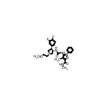 CNC(=O)c1nn(-c2ccccc2)c(NC(=O)N[C@@H]2CN(CCOC)C[C@H]2c2ccc(F)c(F)c2)c1C